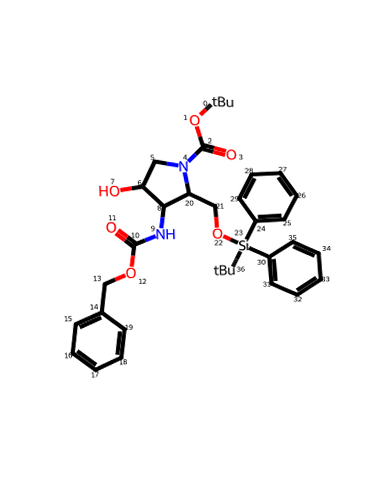 CC(C)(C)OC(=O)N1CC(O)C(NC(=O)OCc2ccccc2)C1CO[Si](c1ccccc1)(c1ccccc1)C(C)(C)C